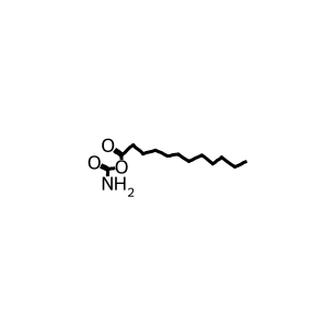 CCCCCCCCCCCC(=O)OC(N)=O